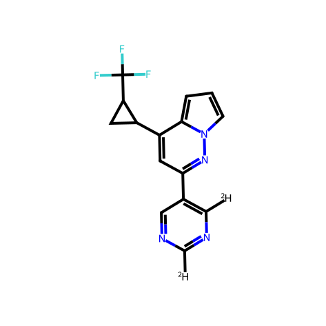 [2H]c1ncc(-c2cc(C3CC3C(F)(F)F)c3cccn3n2)c([2H])n1